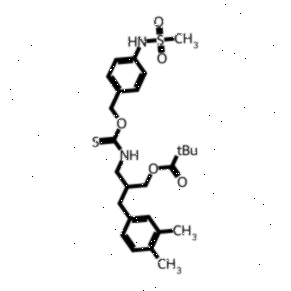 Cc1ccc(CC(CNC(=S)OCc2ccc(NS(C)(=O)=O)cc2)COC(=O)C(C)(C)C)cc1C